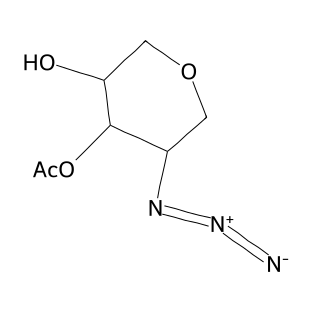 CC(=O)OC1C(O)COCC1N=[N+]=[N-]